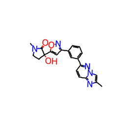 Cc1cn2nc(-c3cccc(-c4cc([C@]5(O)CCN(C)C5=O)on4)c3)ccc2n1